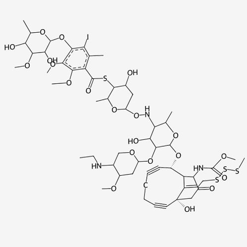 CCNC1COC(OC2C(O[C@H]3C#CCCC#C[C@]4(O)CC(=O)C(NC(=O)OC)C3/C4=C\CSSSC)OC(C)C(NOC3CC(O)C(SC(=O)c4c(C)c(I)c(OC5OC(C)C(O)C(OC)C5O)c(OC)c4OC)C(C)O3)C2O)CC1OC